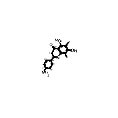 Cc1c(O)c(C)c2c(c1O)C(=O)CC(c1ccc(N)cc1)O2